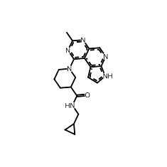 Cc1nc(N2CCCC(C(=O)NCC3CC3)C2)c2c(cnc3[nH]ccc32)n1